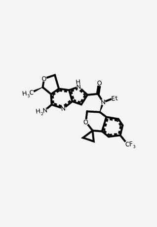 CCN(C(=O)c1cc2nc(N)c3c(c2[nH]1)CO[C@@H]3C)[C@@H]1COC2(CC2)c2cc(C(F)(F)F)ccc21